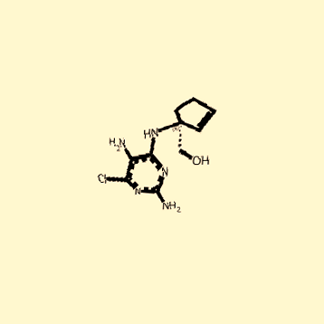 Nc1nc(Cl)c(N)c(N[C@]2(CO)C=CCC2)n1